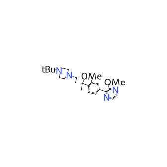 COc1cc(-c2nccnc2OC)ccc1C(C)(C)CCN1CCN(C(C)(C)C)CC1